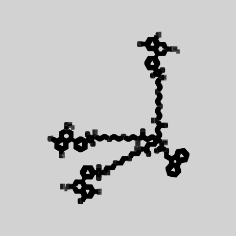 CN1Cc2c(Cl)cc(Cl)cc2[C@H](c2cccc(S(=O)(=O)NCCOCCOCCNC(=O)CCC(CCC(=O)NCCOCCOCCNS(=O)(=O)c3cccc([C@@H]4CN(C)Cc5c(Cl)cc(Cl)cc54)c3)(CCC(=O)NCCOCCOCCNS(=O)(=O)c3cccc([C@@H]4CN(C)Cc5c(Cl)cc(Cl)cc54)c3)NC(=O)OCC3c4ccccc4-c4ccccc43)c2)C1